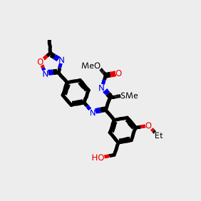 CCOc1cc(CO)cc(C(=N/c2ccc(-c3noc(C)n3)cc2)/C(=N/C(=O)OC)SC)c1